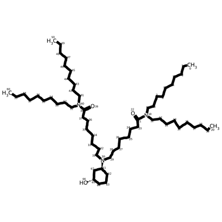 CCCCCCCCCCN(CCCCCCCCCC)C(=O)CCCCCCCN(CCCCCCCC(=O)N(CCCCCCCCCC)CCCCCCCCCC)[C@H]1CCC[C@H](O)C1